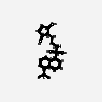 CN(C)c1cccc2c(S(=O)(=O)NCCN3C(=O)C=CC3=O)cccc12